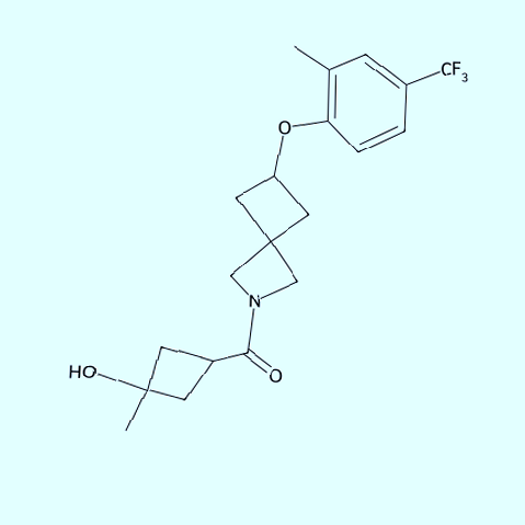 Cc1cc(C(F)(F)F)ccc1OC1CC2(C1)CN(C(=O)C1CC(C)(O)C1)C2